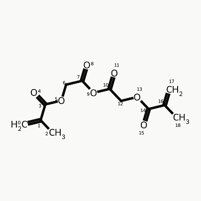 C=C(C)C(=O)OCC(=O)OC(=O)COC(=O)C(=C)C